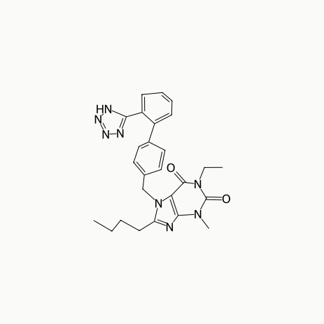 CCCCc1nc2c(c(=O)n(CC)c(=O)n2C)n1Cc1ccc(-c2ccccc2-c2nnn[nH]2)cc1